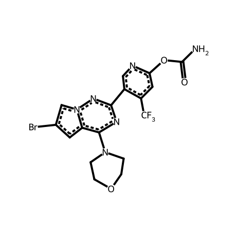 NC(=O)Oc1cc(C(F)(F)F)c(-c2nc(N3CCOCC3)c3cc(Br)cn3n2)cn1